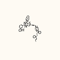 C/C=C/C(=O)CCC(=O)N1CCN(CC#Cc2cc3nc(-c4cccc(O)c4)nc(N4CCOCC4)c3s2)CC1